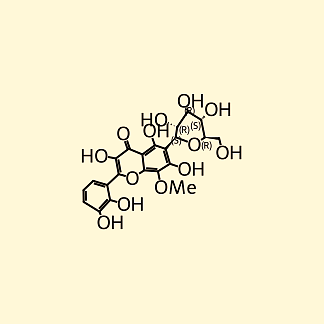 COc1c(O)c([C@@H]2O[C@H](CO)[C@@H](O)[C@H](O)[C@H]2O)c(O)c2c(=O)c(O)c(-c3cccc(O)c3O)oc12